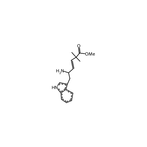 COC(=O)C(C)(C)/C=C/C(N)Cc1c[nH]c2ccccc12